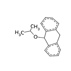 CC(C)OC1c2ccccc2Cc2ccccc21